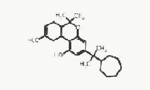 CC1=CCC2C(C1)c1c(O)cc(C(C)(C)C3CCCCCC3)cc1OC2(C)C